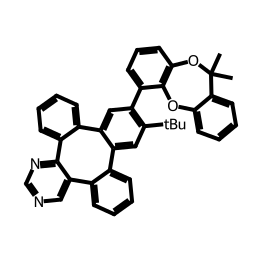 CC(C)(C)c1cc2c(cc1-c1cccc3c1Oc1ccccc1C(C)(C)O3)-c1ccccc1-c1ncncc1-c1ccccc1-2